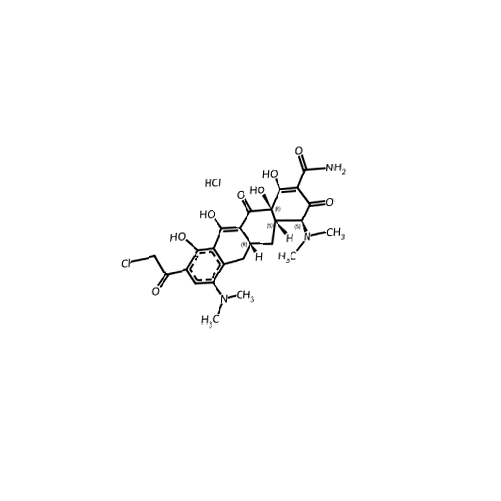 CN(C)c1cc(C(=O)CCl)c(O)c2c1C[C@H]1C[C@H]3[C@H](N(C)C)C(=O)C(C(N)=O)=C(O)[C@@]3(O)C(=O)C1=C2O.Cl